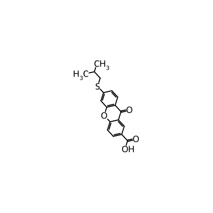 CC(C)CSc1ccc2c(=O)c3cc(C(=O)O)ccc3oc2c1